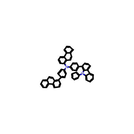 c1ccc(-n2c3ccccc3c3cccc(-c4ccc(N(c5ccc(-c6cccc7c6ccc6ccccc67)cc5)c5cccc6c5ccc5ccccc56)cc4)c32)cc1